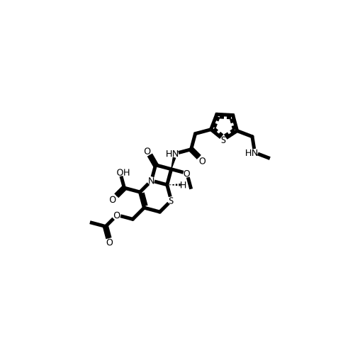 CNCc1ccc(CC(=O)N[C@]2(OC)C(=O)N3C(C(=O)O)=C(COC(C)=O)CS[C@@H]32)s1